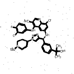 CC(C)(O)c1cccc([C@H](Nc2cc(Cl)c3ncc(C#N)c(Nc4ccc(F)c(Cl)c4)c3c2)c2cn(C3CCN(C(C)(C)C)CC3)nn2)c1